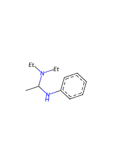 CCN(CC)C(C)Nc1ccccc1